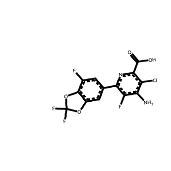 Nc1c(F)c(-c2cc(F)c3c(c2)OC(F)(F)O3)nc(C(=O)O)c1Cl